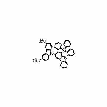 CC(C)(C)c1ccc2c(c1)c1cc(C(C)(C)C)ccc1n2-c1cc2c3c(c1)c1ccccc1n3-c1ccccc1[Si]2(c1ccccc1)c1ccccc1